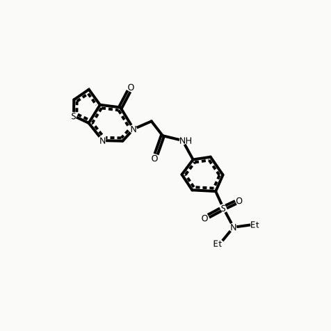 CCN(CC)S(=O)(=O)c1ccc(NC(=O)Cn2cnc3sccc3c2=O)cc1